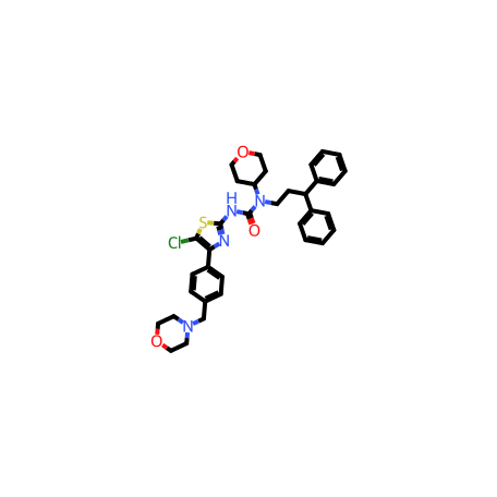 O=C(Nc1nc(-c2ccc(CN3CCOCC3)cc2)c(Cl)s1)N(CCC(c1ccccc1)c1ccccc1)C1CCOCC1